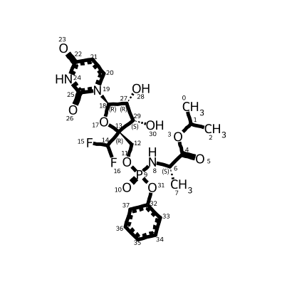 CC(C)OC(=O)[C@H](C)NP(=O)(OC[C@@]1(C(F)F)O[C@@H](n2ccc(=O)[nH]c2=O)[C@H](O)[C@@H]1O)Oc1ccccc1